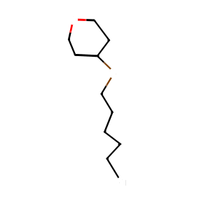 [CH2]CCCCCSC1CCOCC1